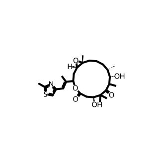 C/C(=C\c1csc(C)n1)C1C[C@@H]2O[C@]2(C)CCC[C@H](C)[C@H](O)C(C)C(=O)C(C)(C)[C@@H](O)CC(=O)O1